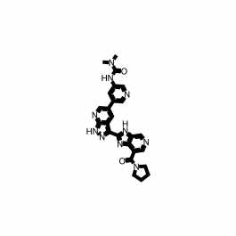 CN(C)C(=O)Nc1cncc(-c2cnc3[nH]nc(-c4nc5c(C(=O)N6CCCC6)cncc5[nH]4)c3c2)c1